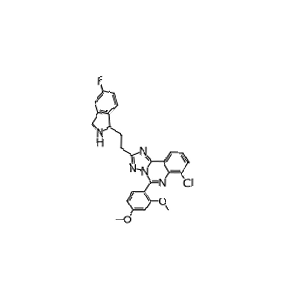 COc1ccc(-c2nc3c(Cl)cccc3c3nc(CCC4NCc5cc(F)ccc54)nn23)c(OC)c1